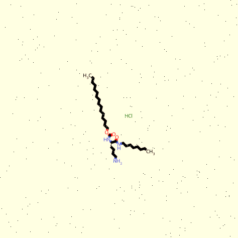 CCCCCCCCCCCCCCCCOC(=O)N[C@@H](CCCCN)C(=O)NCCCCCCCC.Cl